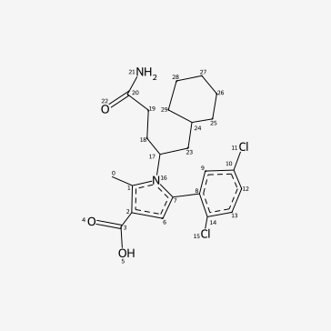 Cc1c(C(=O)O)cc(-c2cc(Cl)ccc2Cl)n1C(CCC(N)=O)CC1CCCCC1